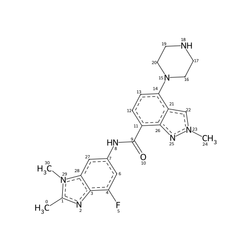 Cc1nc2c(F)cc(NC(=O)c3ccc(N4CCNCC4)c4cn(C)nc34)cc2n1C